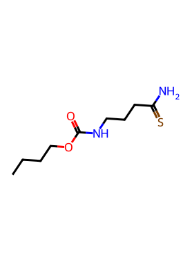 CCCCOC(=O)NCCCC(N)=S